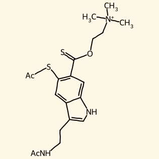 CC(=O)NCCc1c[nH]c2cc(C(=S)OCC[N+](C)(C)C)c(SC(C)=O)cc12